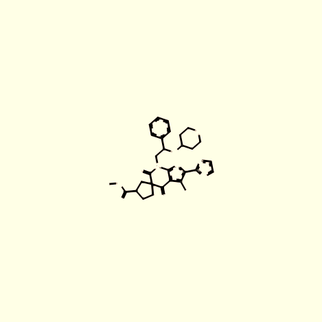 COC(=O)C1CCC2(C1)C(=O)c1c(sc(-c3ncco3)c1C)N(CC(OC1CCOCC1)c1ccccc1)C2=O